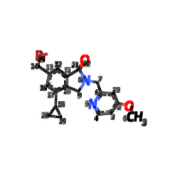 COc1ccnc(CN2Cc3c(cc(CBr)cc3C3CC3)C2=O)c1